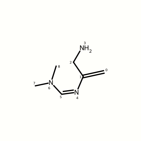 C=C(CN)/N=C\N(C)C